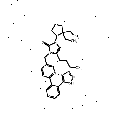 CCCCc1cn(C2CCCC2(CC)CC)c(=O)n1Cc1ccc(-c2ccccc2-c2nnn[nH]2)nc1